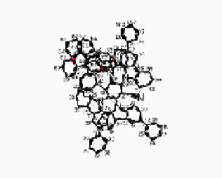 N#Cc1c(-n2c3ccccc3c3cc(-c4ccccc4)ccc32)c(-n2c3ccccc3c3cc(-c4ccccc4)ccc32)c(-c2cccc3c2-c2cnccc2C32c3ccccc3-c3ccccc32)c(-n2c3ccccc3c3cc(-c4ccccc4)ccc32)c1-n1c2ccccc2c2cc(-c3ccccc3)ccc21